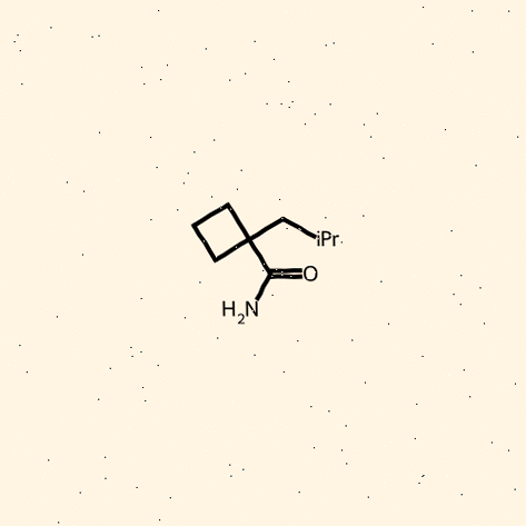 CC(C)CC1(C(N)=O)CCC1